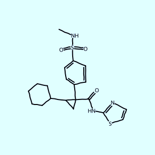 CNS(=O)(=O)c1ccc(C2(C(=O)Nc3nccs3)CC2C2CCCCC2)cc1